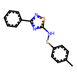 Cc1ccc(SNc2nc(-c3ccccc3)ns2)cc1